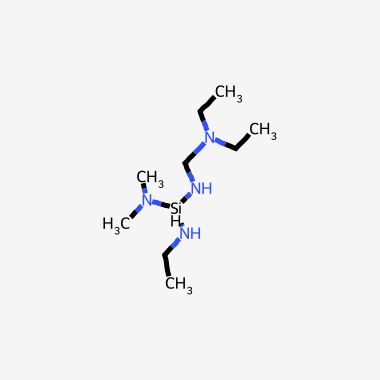 CCN[SiH](NCN(CC)CC)N(C)C